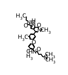 CCCNC(=O)c1cc2c(-c3cc(C)cc(Oc4ccc(C)c(NC(=O)CCCN(C)C)c4)c3)cn(C)c(=O)c2[nH]1